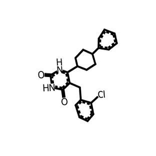 O=c1[nH]c(C2CCC(c3ccccc3)CC2)c(Cc2ccccc2Cl)c(=O)[nH]1